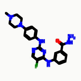 CN1CCN(c2ccc(Nc3ncc(F)c(Nc4cccc(C(=O)NN)c4)n3)cc2)CC1